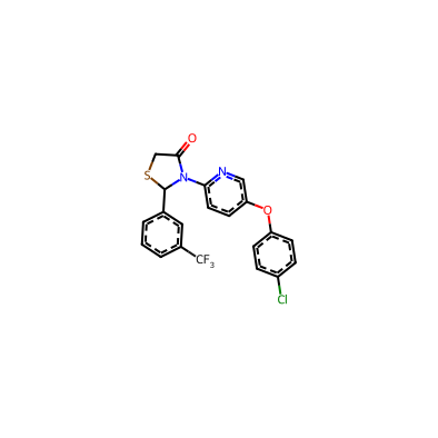 O=C1CSC(c2cccc(C(F)(F)F)c2)N1c1ccc(Oc2ccc(Cl)cc2)cn1